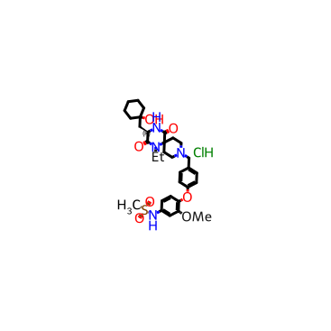 CCN1C(=O)[C@@H](CC2(O)CCCCC2)NC(=O)C12CCN(Cc1ccc(Oc3ccc(NS(C)(=O)=O)cc3OC)cc1)CC2.Cl